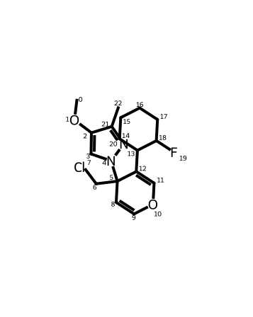 COc1cn(C2(CCl)C=COC=C2C2CCCCC2F)nc1C